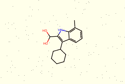 Cc1cccc2c(C3CCCCC3)c(C(O)O)[nH]c12